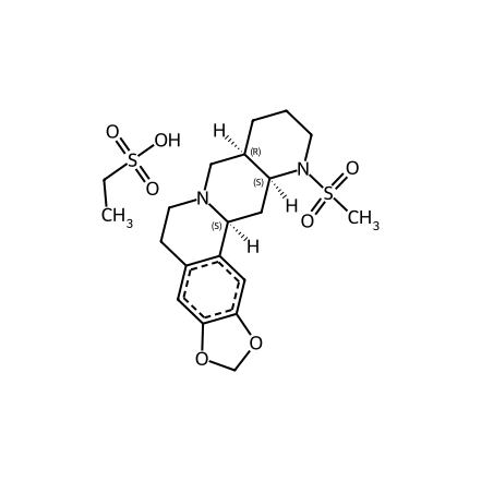 CCS(=O)(=O)O.CS(=O)(=O)N1CCC[C@@H]2CN3CCc4cc5c(cc4[C@@H]3C[C@@H]21)OCO5